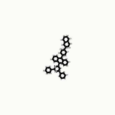 c1ccc(-c2cc(-c3c4ccccc4c(-c4ccc(-c5ccc6ccccc6c5)cc4)c4ccccc34)nc(-c3ccccc3)n2)cc1